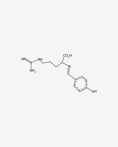 N=C(N)NCCCC(N=Cc1ccc(O)cc1)C(=O)O